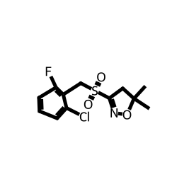 CC1(C)CC(S(=O)(=O)Cc2c(F)cccc2Cl)=NO1